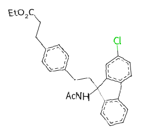 CCOC(=O)CCc1ccc(CCC2(NC(C)=O)c3ccccc3-c3ccc(Cl)cc32)cc1